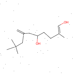 C=C(CC(O)CCC(C)=CO)CC(C)(C)C